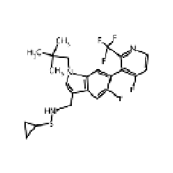 CC(C)(C)Cn1cc(CNSC2CC2)c2cc(F)c(-c3c(F)ccnc3C(F)(F)F)cc21